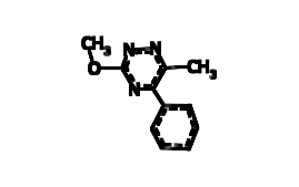 COc1nnc(C)c(-c2ccccc2)n1